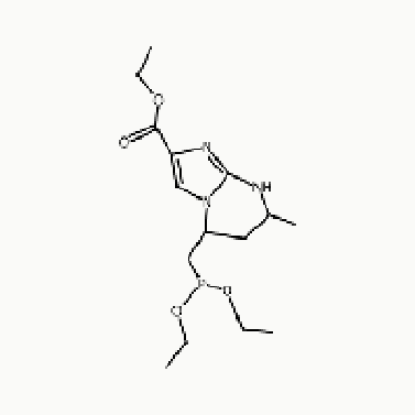 CCOC(=O)c1cn2c(n1)NC(C)CC2CP(OCC)OCC